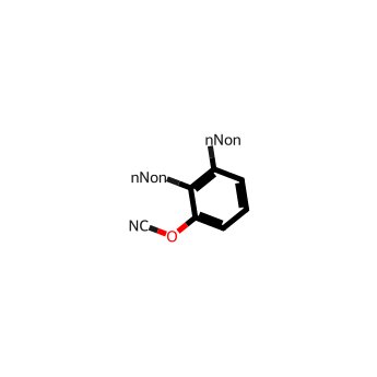 CCCCCCCCCc1cccc(OC#N)c1CCCCCCCCC